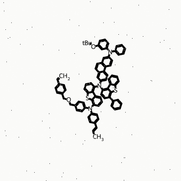 C=Cc1ccc(COCc2ccc(N(c3ccc(/C=C/C)cc3)c3cccc4c3sc3cccc(N(c5ccc6c(ccc7cc(N(c8ccccc8)c8cccc(OC(C)(C)C)c8)ccc76)c5)c5ccc(-c6ccccc6)c6sc7ccccc7c56)c34)cc2)cc1